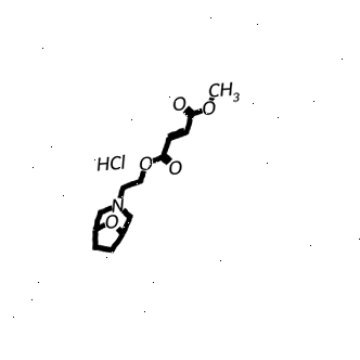 COC(=O)C=CC(=O)OCCN1CC2CCC(C1)O2.Cl